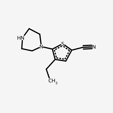 CCc1cc(C#N)sc1N1CCNCC1